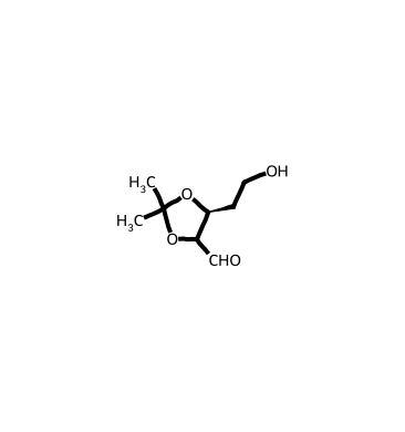 CC1(C)OC(C=O)[C@H](CCO)O1